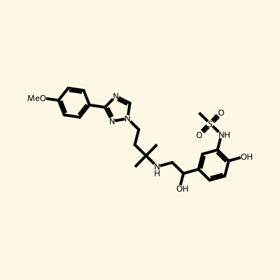 COc1ccc(-c2ncn(CCC(C)(C)NCC(O)c3ccc(O)c(NS(C)(=O)=O)c3)n2)cc1